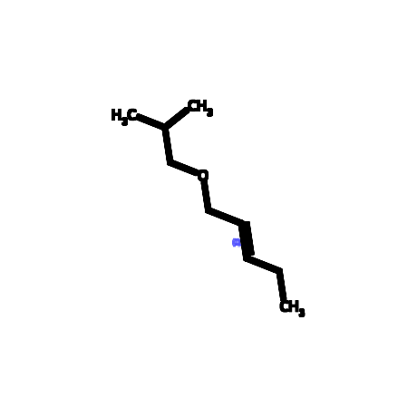 CC/C=C/COCC(C)C